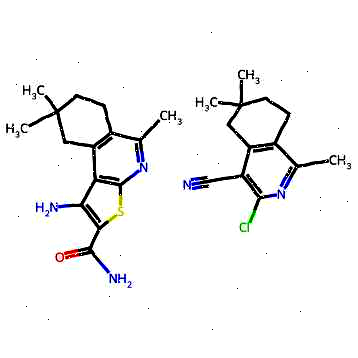 Cc1nc(Cl)c(C#N)c2c1CCC(C)(C)C2.Cc1nc2sc(C(N)=O)c(N)c2c2c1CCC(C)(C)C2